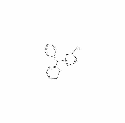 CC1C=CC=C(N(C2=CC=CCC2)C2C=CC=CC2)C1